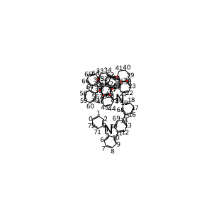 c1ccc(-n2c3ccccc3c3ccc(-c4cccc(N(c5ccccc5-c5cccc6cccc(C7CCCCC7)c56)c5cccc6c5-c5ccccc5C6(c5ccccc5)c5ccccc5)c4)cc32)cc1